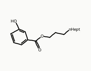 CCCCCCCCCCOC(=O)c1cccc(O)c1